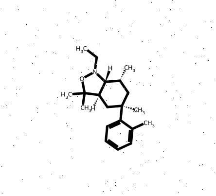 CCN1OC(C)(C)[C@@H]2C[C@](C)(c3ccccc3C)C[C@@H](C)[C@H]21